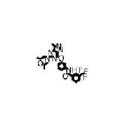 CC1CN(c2nc(Oc3cccc(NC(=O)c4cccc(C(F)(F)F)c4)c3)c3c(n2)C(C)N=N3)CC(C)O1